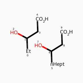 CCC(O)CC(=O)O.CCCCCCCC(O)CC(=O)O